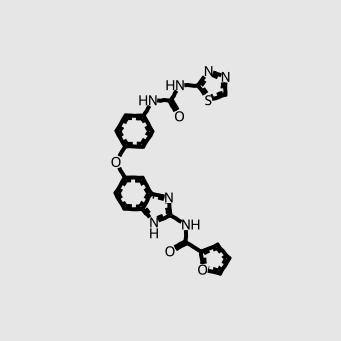 O=C(Nc1ccc(Oc2ccc3[nH]c(NC(=O)c4ccco4)nc3c2)cc1)Nc1nncs1